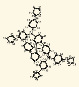 c1ccc(C2(c3ccccc3)c3cc(N(c4ccc(-c5cccs5)cc4)c4ccc(-c5cccs5)cc4)ccc3-c3ccc(N(c4ccc(-c5cccs5)cc4)c4ccc(-c5cccs5)cc4)cc32)cc1